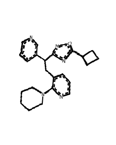 c1cncc(C(Cc2cccnc2N2CCCCC2)c2noc(C3CCC3)n2)c1